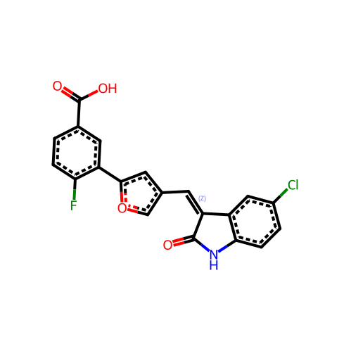 O=C1Nc2ccc(Cl)cc2/C1=C/c1coc(-c2cc(C(=O)O)ccc2F)c1